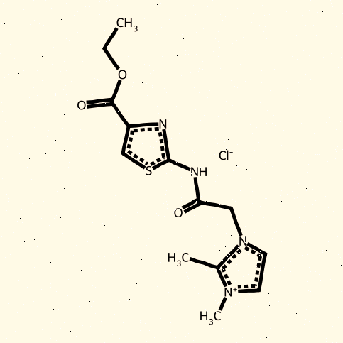 CCOC(=O)c1csc(NC(=O)Cn2cc[n+](C)c2C)n1.[Cl-]